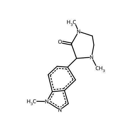 CN1CCN(C)C(c2ccc3c(cnn3C)c2)C1=O